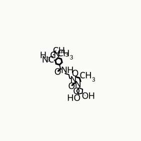 Cc1cn([C@H]2C[C@H](O)[C@@H](O)O2)c(=O)n(CCCNC(=O)c2ccc([N+](C)(C)C)c(C#N)c2)c1=O